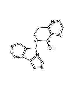 O[C@@H]1c2nccnc2CC[C@H]1C1c2ccccc2-c2cncn21